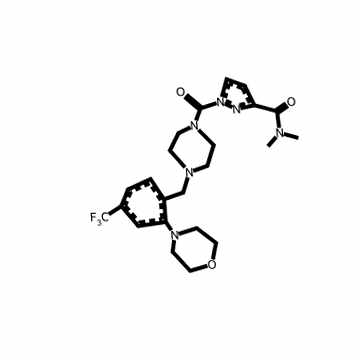 CN(C)C(=O)c1ccn(C(=O)N2CCN(Cc3ccc(C(F)(F)F)cc3N3CCOCC3)CC2)n1